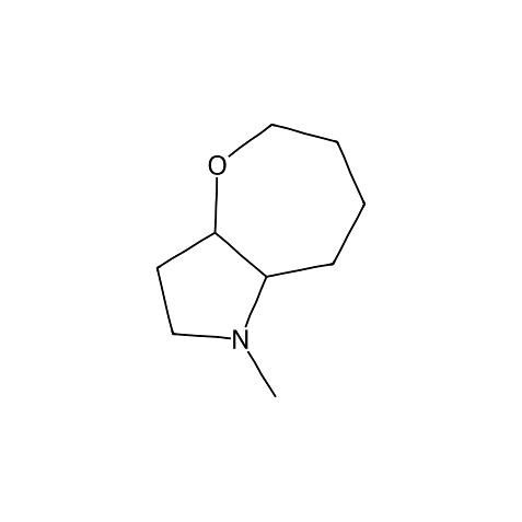 CN1CCC2OCCCCC21